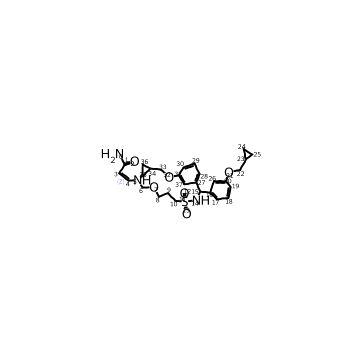 NC(=O)/C=C\NCOCCCS(=O)(=O)NC(c1cccc(OCC2CC2)c1)c1cccc(OCC2CC2)c1